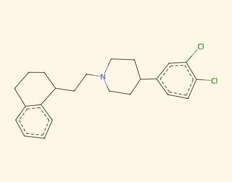 Clc1ccc(C2CCN(CCC3CCCc4ccccc43)CC2)cc1Cl